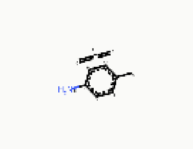 C=C=C.Cc1ccc(N)cc1